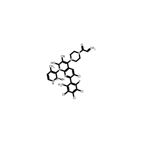 C=CC(=O)N1CCN(C2=C(C#N)C(O)N(C3=C(C)C=CN[C@@H]3C(C)C)c3nc(-c4c(N)c(Cl)c(Cl)c(Cl)c4F)c(Cl)cc32)CC1